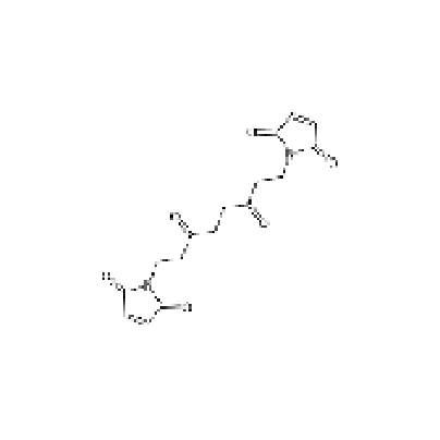 O=C(CCC(=O)CCN1C(=O)C=CC1=O)CCN1C(=O)C=CC1=O